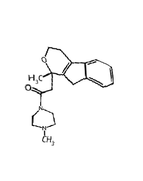 CN1CCN(C(=O)CC2(C)OCCC3=C2Cc2ccccc23)CC1